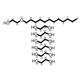 CCCCCCCCCCCCOCCO.OCCO.OCCO.OCCO.OCCO.OCCO.OCCO